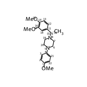 COc1ccc(N2CCN([C@@H](C)c3ccc(OC)c(OC)c3)CC2)cc1